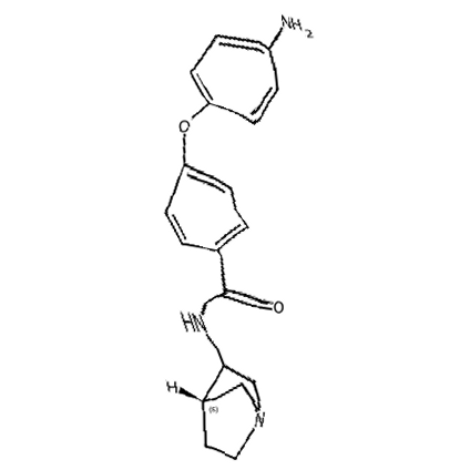 Nc1ccc(Oc2ccc(C(=O)NC3CN4CC[C@H]3C4)cc2)cc1